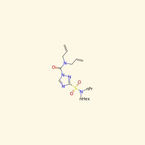 C=CCN(CC=C)C(=O)n1cnc(S(=O)(=O)N(CCC)CCCCCC)n1